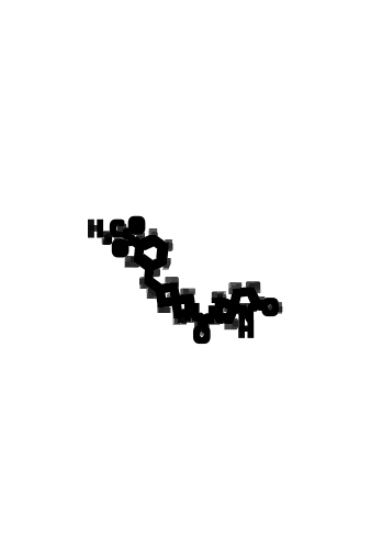 CS(=O)(=O)c1cccc(CC2CC3(C2)CN(C(=O)N2CC4(CCC(=O)N4)C2)C3)c1